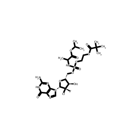 CC(C)OC(=O)C(C)NP(=O)(OCCSC(=O)C(C)(C)C)OC[C@H]1O[C@@H](n2cnc3c(=O)[nH]c(N)nc32)[C@@](F)(Cl)[C@@H]1O